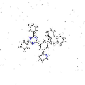 C1=C(c2ccccn2)C=C(c2nc(-c3ccccc3)nc(-c3ccccc3)n2)CC1c1cc2ccccc2c2ccccc12